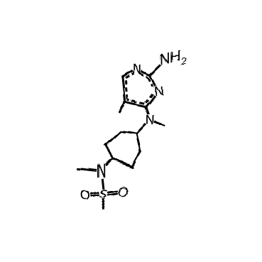 Cc1cnc(N)nc1N(C)C1CCC(N(C)S(C)(=O)=O)CC1